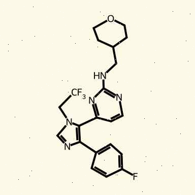 Fc1ccc(-c2ncn(CC(F)(F)F)c2-c2ccnc(NCC3CCOCC3)n2)cc1